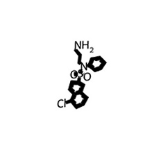 NCCCN(c1ccccc1)S(=O)(=O)c1ccc2c(Cl)cccc2c1